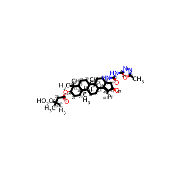 Cc1nnc(NC(=O)N[C@@]23CC[C@]4(C)C(CCC5[C@@]6(C)CC[C@H](OC(=O)CC(C)(C)C(=O)O)C(C)(C)C6CC[C@]54C)C2=C(C(C)C)C(=O)C3)o1